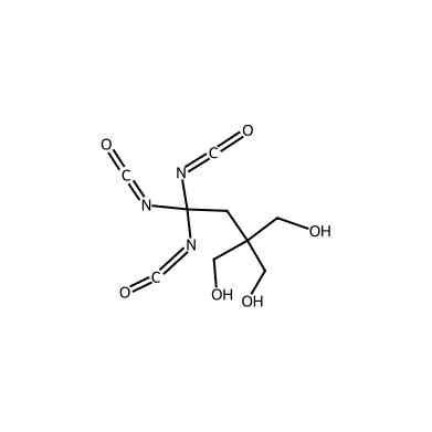 O=C=NC(CC(CO)(CO)CO)(N=C=O)N=C=O